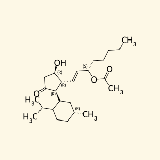 CCCCC[C@@H](C=C[C@H]1[C@H](O)CC(=O)[C@@H]1C1C[C@H](C)CCC1C(C)C)OC(C)=O